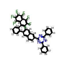 Fc1c(F)c(F)c2c(-c3ccccc3-c3ccc4cc(-c5nc(-c6ccccc6)nc(-c6ccccc6)n5)ccc4c3)c(F)c(F)c(F)c2c1F